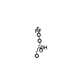 O=C(O)C(CCCc1ccccc1)CCc1ccc(-c2ccc(C(F)(F)F)cc2)cc1